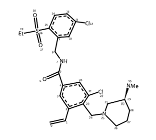 C=Cc1cc(C(=O)NCc2cc(Cl)ccc2S(=O)(=O)CC)cc(Cl)c1CN1CCC[C@H](NC)C1